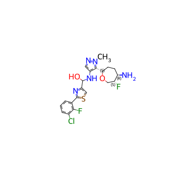 Cn1ncc(NC(O)c2csc(-c3cccc(Cl)c3F)n2)c1[C@@H]1CC[C@@H](N)[C@H](F)CO1